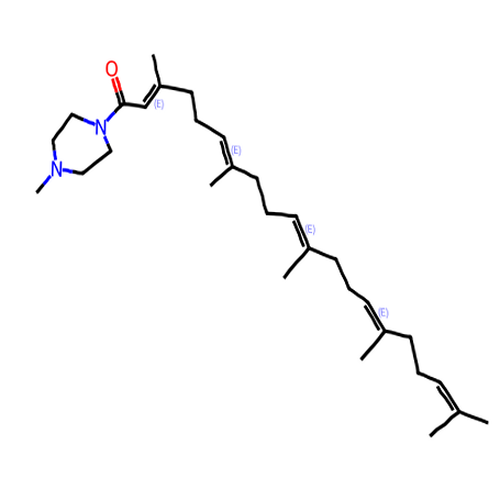 CC(C)=CCC/C(C)=C/CC/C(C)=C/CC/C(C)=C/CC/C(C)=C/C(=O)N1CCN(C)CC1